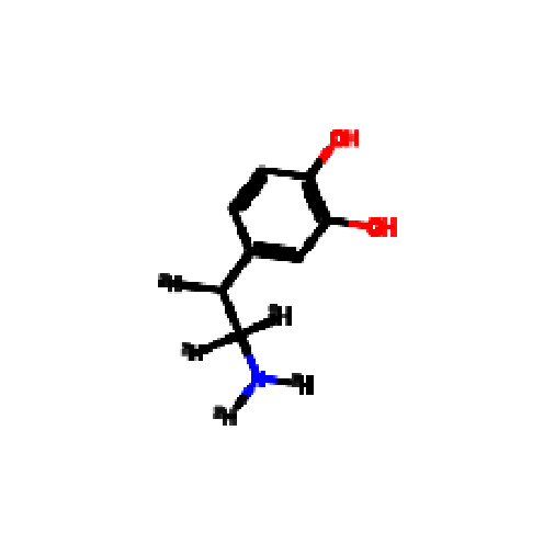 [2H]C(c1ccc(O)c(O)c1)C([2H])([2H])N([2H])[2H]